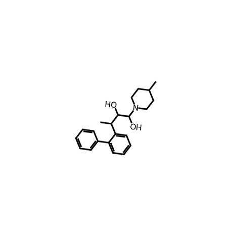 CC1CCN(C(O)C(O)C(C)c2ccccc2-c2ccccc2)CC1